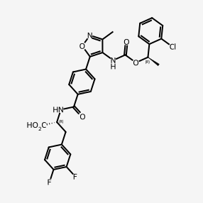 Cc1noc(-c2ccc(C(=O)N[C@H](Cc3ccc(F)c(F)c3)C(=O)O)cc2)c1NC(=O)O[C@H](C)c1ccccc1Cl